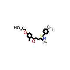 Cc1cc(OCC(=O)O)ccc1C(=O)CCc1sc(-c2ccc(C(F)(F)F)cc2)nc1C(C)C